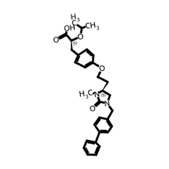 CC(C)O[C@@H](Cc1ccc(OCC[C@H]2CN(Cc3ccc(-c4ccccc4)cc3)C(=O)N2C)cc1)C(=O)O